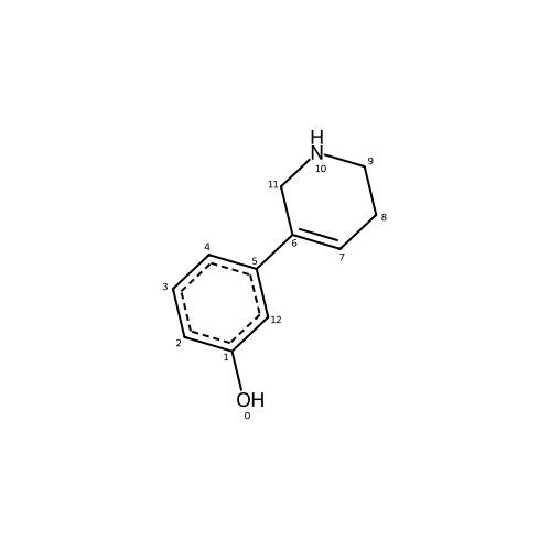 Oc1cccc(C2=CCCNC2)c1